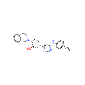 Cc1ccc(Nc2cc(N3CC[C@@H](N4CCc5ccccc5C4)[C@H](O)C3)ncn2)cc1